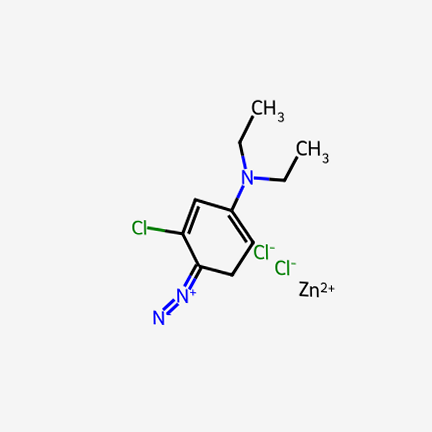 CCN(CC)C1=CCC(=[N+]=[N-])C(Cl)=C1.[Cl-].[Cl-].[Zn+2]